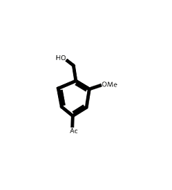 COc1cc(C(C)=O)ccc1CO